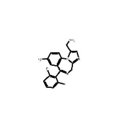 NCc1cnc2n1-c1ccc(C(F)(F)F)cc1C(c1c(F)cccc1F)=NC2